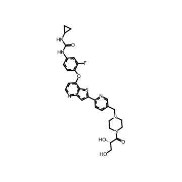 O=C(Nc1ccc(Oc2ccnc3cc(-c4ccc(CN5CCN(C(=O)[C@@H](O)CO)CC5)cn4)sc23)c(F)c1)NC1CC1